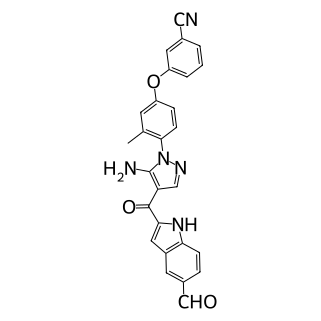 Cc1cc(Oc2cccc(C#N)c2)ccc1-n1ncc(C(=O)c2cc3cc(C=O)ccc3[nH]2)c1N